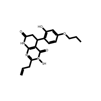 C=CCc1nc2c(c(=O)n1S)C(c1ccc(OCCC)cc1O)CC(=O)N2